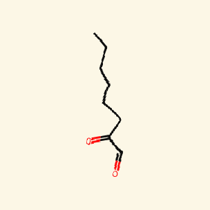 CCCCCCC(=O)C=O